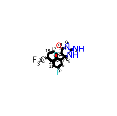 CN1C(=N)N[C@](C)(c2cc(F)ccc2F)[C@H](c2ccc(C(F)(F)F)cc2)C1=O